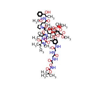 CC[C@H](C)[C@@H]([C@@H](CC(=O)N1CCC[C@H]1[C@H](OC)[C@@H](C)C(=O)N[C@H](C)[C@@H](O)c1ccccc1)OC)N(C)C(=O)[C@@H](NC(=O)[C@H](C(C)C)N(C)C(=O)OCc1cc(NC(=O)CNC(=O)CNC(=O)CONC(=O)OC(C)(C)C)ccc1O[C@@H]1OC(C(=O)OC)[C@@H](OC(C)=O)C(OC(C)=O)C1OC(C)=O)C(C)C